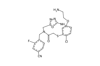 N#Cc1ccc(CN(Cc2nnc(N)o2)C(=O)CSc2cc(OCCN)ccc2Cl)c(F)c1